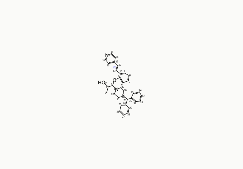 CC(O)C(Oc1ccccc1/C=C/c1ccncc1)N1CCN(C(c2ccccc2)c2ccccc2)CC1